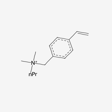 C=Cc1ccc(C[N+](C)(C)CCC)cc1